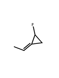 CC=C1CC1F